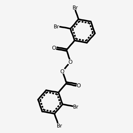 O=C(OOC(=O)c1cccc(Br)c1Br)c1cccc(Br)c1Br